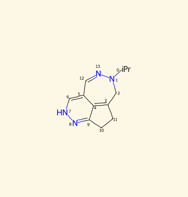 CC(C)N1CC2=C3C(=CNN=C3CC2)C=N1